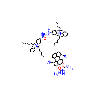 CCCCCC(C)(C)[N+](c1ccccc1)(c1ccc(NC(=O)NC(=O)Nc2ccc([N+](c3ccccc3)(C(C)(C)CCCCC)C(C)(C)CCCCC)cc2)cc1)C(C)(C)CCCCC.N#Cc1ccc2cccc3c4c(C#N)ccc5cccc(c1c23)c54.NC(=O)NC(N)=O